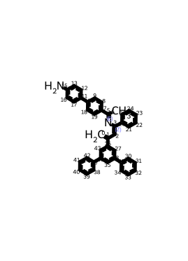 C=C(/C=C(\N=C(/C)c1ccc(-c2ccc(N)cc2)cc1)c1ccccc1)c1cc(-c2ccccc2)cc(-c2ccccc2)c1